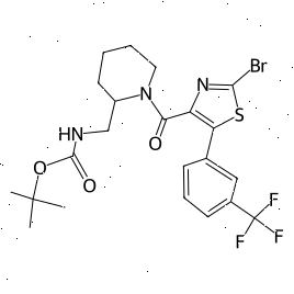 CC(C)(C)OC(=O)NCC1CCCCN1C(=O)c1nc(Br)sc1-c1cccc(C(F)(F)F)c1